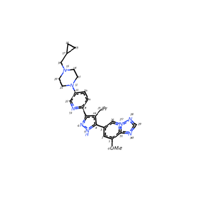 COc1cc(-c2[nH]nc(-c3ccc(N4CCN(CC5CC5)CC4)cn3)c2C(C)C)cn2ncnc12